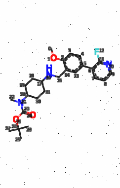 COc1ccc(-c2cccnc2F)cc1CNC1CCC(N(C)C(=O)OC(C)(C)C)CC1